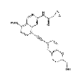 CNc1ncc(C#Cc2ccc3c(c2)CCC(CO)O3)c2cc(NC(=O)C3CC3)ncc12